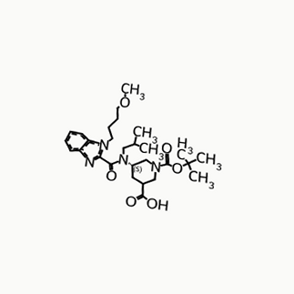 COCCCCn1c(C(=O)N(CC(C)C)[C@H]2CC(C(=O)O)CN(C(=O)OC(C)(C)C)C2)nc2ccccc21